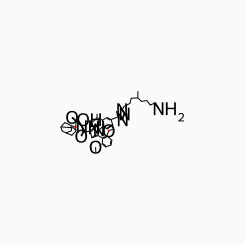 COc1cccc(OC)c1-c1cc(C(=O)NC2(C(=O)O)C3CC4CC(C3)CC2C4)nn1-c1ccc(-c2cn(CCCC(C)CCCCN)nn2)cc1C(C)C